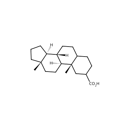 C[C@@]12CCC[C@H]1[C@@H]1CCC3CCC(C(=O)O)C[C@]3(C)[C@H]1CC2